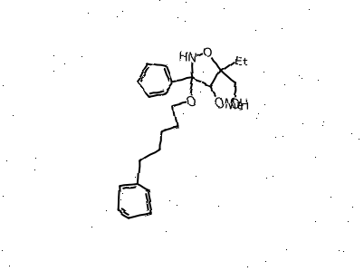 CCC1(CO)ONC(OCCCCCc2ccccc2)(c2ccccc2)C1OC